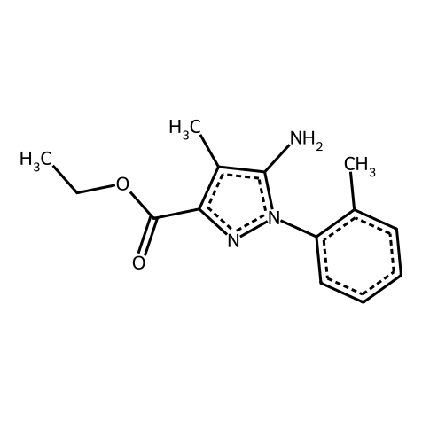 CCOC(=O)c1nn(-c2ccccc2C)c(N)c1C